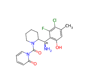 Cc1cc(O)c([C@@H](N)C2CCCCN2C(=O)n2ccccc2=O)c(F)c1Cl